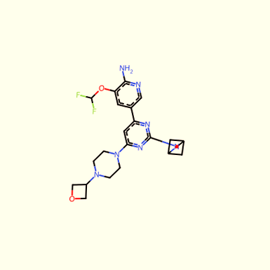 Nc1ncc(-c2cc(N3CCN(C4COC4)CC3)nc(N3CC4CC3C4)n2)cc1OC(F)F